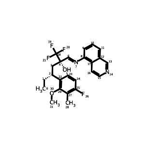 CC[C@H](C[C@](O)(C=Nc1cccc2cnccc12)C(F)(F)F)c1ccc(F)c(C)c1OC